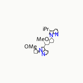 COC1C(CC(C)c2cn([C@H]3CCC[C@@H]3OC)c3ncccc23)CCC1n1cc(C(C)C)c2cccnc21